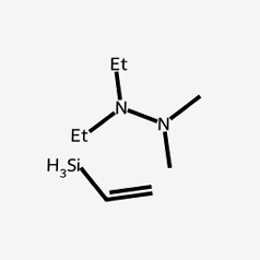 C=C[SiH3].CCN(CC)N(C)C